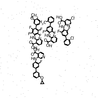 COc1cccc(-c2c(F)c(F)c(Nc3ncccc3C(=O)O)c(F)c2F)c1.Cc1ccccc1-c1cc(F)c(Nc2ncccc2C(=O)O)c(F)c1.O=C(O)c1cc(Cl)cnc1Nc1c(F)cc(-c2ccccc2Cl)cc1F.O=C(O)c1ccncc1Nc1ccc(-c2cccc(OC3CC3)c2)cc1F